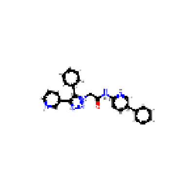 O=C(Cn1nnc(-c2cccnc2)c1-c1ccccc1)Nc1ccc(-c2ccccc2)cn1